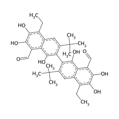 CCc1c(O)c(O)c(C=O)c2c(O)c(-c3c(C(C)(C)C)cc4c(CC)c(O)c(O)c(C=O)c4c3O)c(C(C)(C)C)cc12